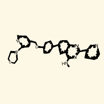 CNc1nc(-c2cccnc2)nc2ccc(-c3ccc(OCc4ccnc(N5CCOCC5)c4)cc3)cc12